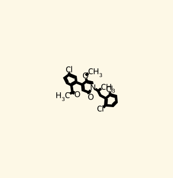 COc1cn(C(C)Cc2c(Cl)cccc2Cl)c(=O)cc1-c1cc(Cl)ccc1C(C)=O